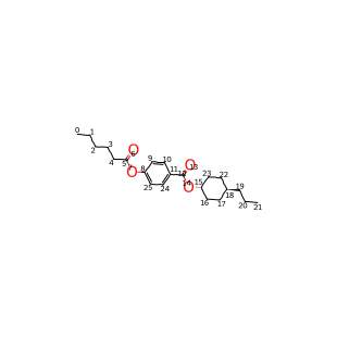 CCCCCC(=O)Oc1ccc(C(=O)O[C@H]2CC[C@H](CCC)CC2)cc1